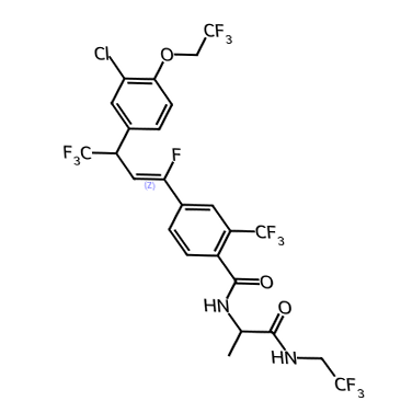 CC(NC(=O)c1ccc(/C(F)=C/C(c2ccc(OCC(F)(F)F)c(Cl)c2)C(F)(F)F)cc1C(F)(F)F)C(=O)NCC(F)(F)F